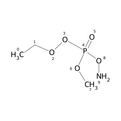 CCOOP(=O)(OC)ON